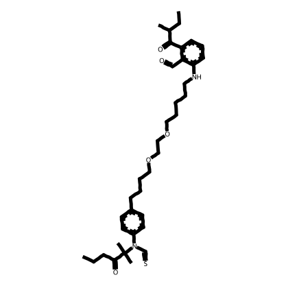 CCCC(=O)C(C)(C)N(C=S)c1ccc(CCCCOCCOCCCCCNc2cccc(C(=O)C(C)CC)c2C=O)cc1